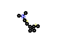 c1ccc(-c2nc(-c3ccccc3)nc(-c3ccc4c(c3)sc3cc(-c5ccc(C6(c7ccc8sc9ccccc9c8c7)c7ccccc7-c7ccccc76)cc5)ccc34)n2)cc1